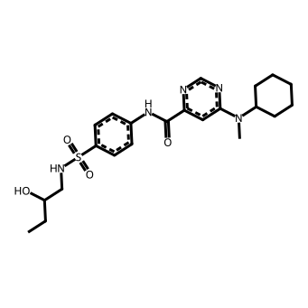 CCC(O)CNS(=O)(=O)c1ccc(NC(=O)c2cc(N(C)C3CCCCC3)ncn2)cc1